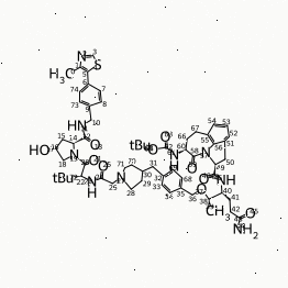 Cc1ncsc1-c1ccc(CNC(=O)[C@@H]2C[C@@H](O)CN2C(=O)[C@@H](NC(=O)CN2CCC(Cc3ccc(CO[C@H](C)[C@H](CCC(N)=O)NC(=O)[C@@H]4Cc5cccc6c5N4C(=O)[C@@H](NC(=O)OC(C)(C)C)CC6)cc3)CC2)C(C)(C)C)cc1